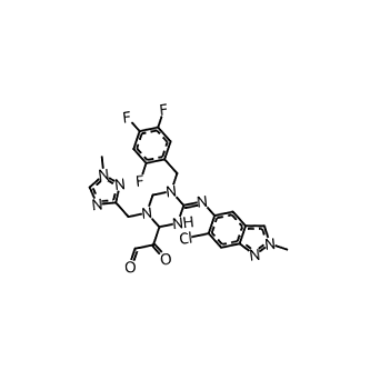 Cn1cnc(CN2CN(Cc3cc(F)c(F)cc3F)/C(=N/c3cc4cn(C)nc4cc3Cl)NC2C(=O)C=O)n1